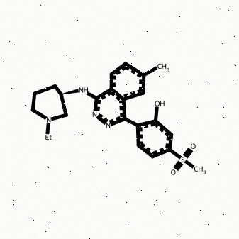 CCN1CCC[C@@H](Nc2nnc(-c3ccc(S(C)(=O)=O)cc3O)c3cc(C)ccc23)C1